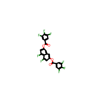 O=C(Oc1cc(F)c2c(F)cc(OC(=O)c3cc(F)c(F)c(F)c3)cc2c1)c1cc(F)c(F)c(F)c1